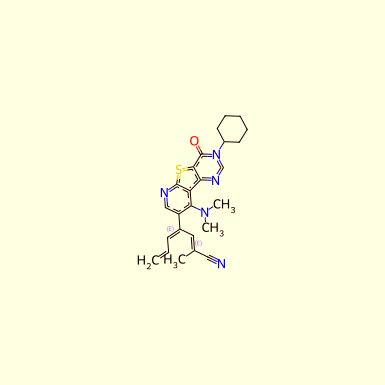 C=C/C=C(\C=C(/C)C#N)c1cnc2sc3c(=O)n(C4CCCCC4)cnc3c2c1N(C)C